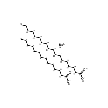 CCCCCCCCCCCCCC(=O)[O-].CCCCCCCCCCCCCCCCCC(=O)[O-].[Ba+2]